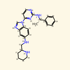 C[C@H](Nc1nccc(-n2cnc3cc(NCC4CCCCN4)ccc32)n1)c1ccccc1